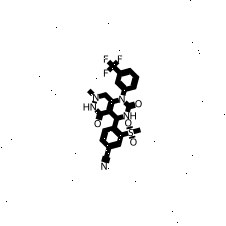 CN1CC2=C(C(=O)N1)C(c1ccc(C#N)cc1S(C)(=O)=O)NC(=O)N2c1cccc(C(F)(F)F)c1